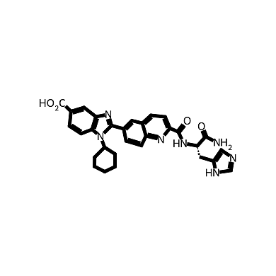 NC(=O)[C@H](Cc1cnc[nH]1)NC(=O)c1ccc2cc(-c3nc4cc(C(=O)O)ccc4n3C3CCCCC3)ccc2n1